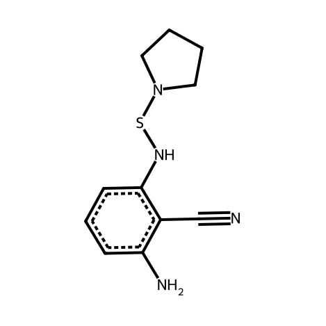 N#Cc1c(N)cccc1NSN1CCCC1